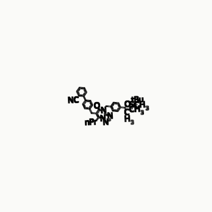 CCCc1c(Cc2ccc(-c3ccccc3C#N)cc2)c(=O)n(Cc2ccc(C(C)O[Si](C)(C)C(C)(C)C)cc2)c2ncnn12